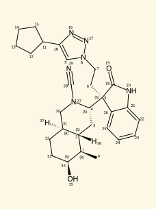 C[C@@H]1[C@H]2C[C@@H]([C@@]3(CCn4cc(C5CCCC5)nn4)C(=O)Nc4ccccc43)N(C#N)C[C@@H]2CC[C@@H]1O